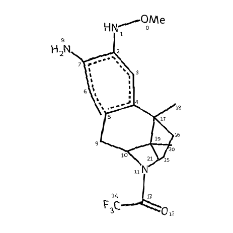 CONc1cc2c(cc1N)CC1N(C(=O)C(F)(F)F)CCC2(C)C1(C)C